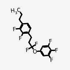 CCCc1ccc(CCC(F)(F)Oc2cc(F)c(F)c(F)c2)c(F)c1F